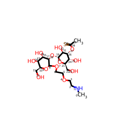 CNCCOCCOC1O[C@@H](CO)[C@@H](O)[C@H](O)[C@@H]1O[C@H]1O[C@H](CO)[C@@H](O)[C@@H](OC(C)=S)[C@@H]1O